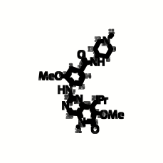 COc1cc(C(=O)NC2CCN(C)CC2)ccc1Nc1ncc2c(n1)c(C(C)C)c(OC)c(=O)n2C